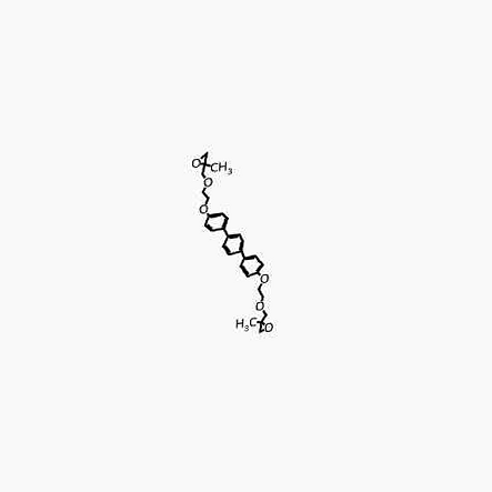 CC1(COCCOc2ccc(-c3ccc(-c4ccc(OCCOCC5(C)CO5)cc4)cc3)cc2)CO1